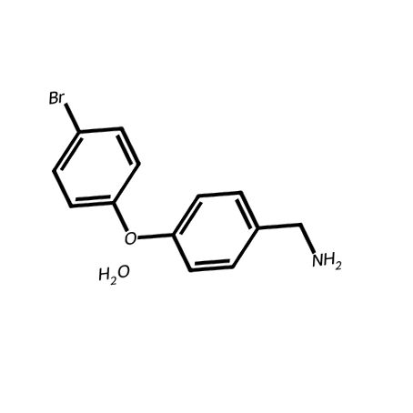 NCc1ccc(Oc2ccc(Br)cc2)cc1.O